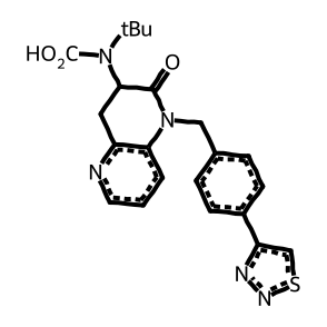 CC(C)(C)N(C(=O)O)C1Cc2ncccc2N(Cc2ccc(-c3csnn3)cc2)C1=O